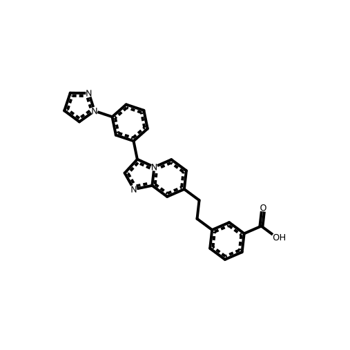 O=C(O)c1cccc(CCc2ccn3c(-c4cccc(-n5cccn5)c4)cnc3c2)c1